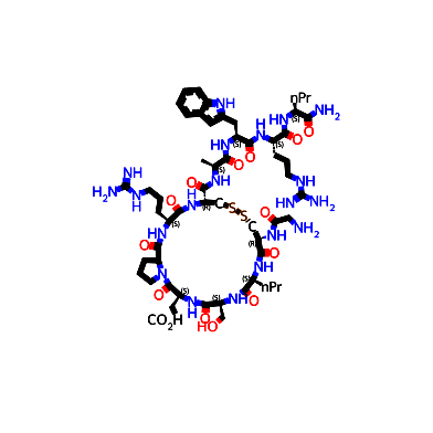 CCC[C@H](NC(=O)[C@H](CCCNC(=N)N)NC(=O)[C@H](Cc1cc2ccccc2[nH]1)NC(=O)[C@H](C)NC(=O)[C@@H]1CSSC[C@H](NC(=O)CN)C(=O)N[C@@H](CCC)C(=O)N[C@@H](CO)C(=O)N[C@@H](CC(=O)O)C(=O)N2CCCC2C(=O)N[C@@H](CCCNC(=N)N)C(=O)N1)C(N)=O